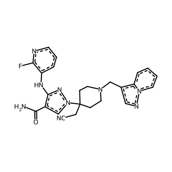 N#CCC1(n2cc(C(N)=O)c(Nc3cccnc3F)n2)CCN(Cc2cnn3ccccc23)CC1